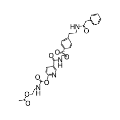 CC(=O)OCCNC(=O)Oc1ccc(C(=O)NS(=O)(=O)c2ccc(CCNC(=O)Cc3ccccc3)cc2)cn1